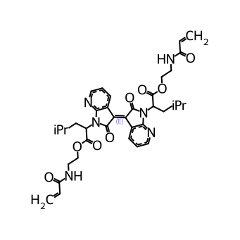 C=CC(=O)NCCOC(=O)C(CC(C)C)N1C(=O)/C(=C2/C(=O)N(C(CC(C)C)C(=O)OCCNC(=O)C=C)c3ncccc32)c2cccnc21